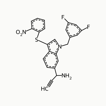 C#CC(N)c1ccc2c(Sc3ccccc3[N+](=O)[O-])cn(Cc3cc(F)cc(F)c3)c2c1